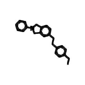 CCc1ccc(CCc2ccc3c(c2)CN(c2ccccc2)C3)cc1